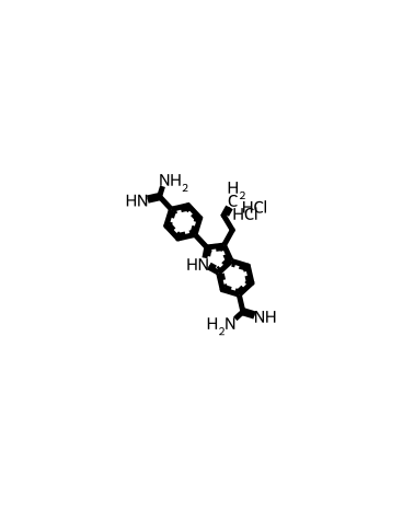 C=CCc1c(-c2ccc(C(=N)N)cc2)[nH]c2cc(C(=N)N)ccc12.Cl.Cl